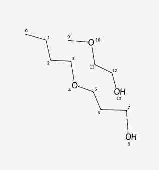 CCCCOCCCO.COCCO